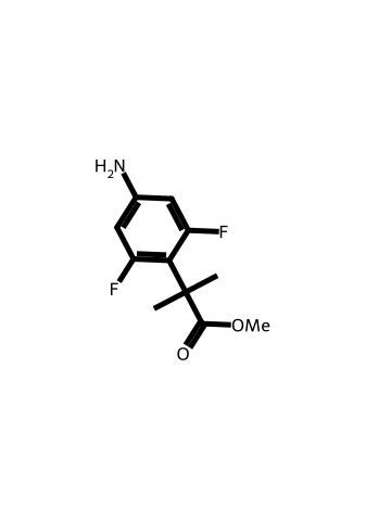 COC(=O)C(C)(C)c1c(F)cc(N)cc1F